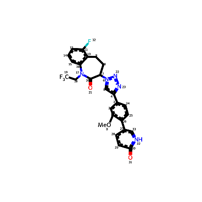 COc1cc(-c2cn(C3CCc4c(F)cccc4N(CC(F)(F)F)C3=O)nn2)ccc1-c1ccc(=O)[nH]c1